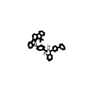 CC1(C)c2ccccc2-c2ccc3c4ccccc4n(-c4ccc(C5=Nc6ccccc6C(c6ccc(-c7ccccc7)cc6)N5)cc4)c3c21